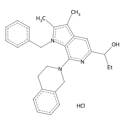 CCC(O)c1cc2c(C)c(C)n(Cc3ccccc3)c2c(N2CCc3ccccc3C2)n1.Cl